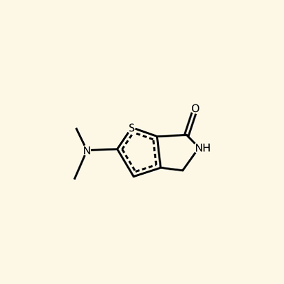 CN(C)c1cc2c(s1)C(=O)NC2